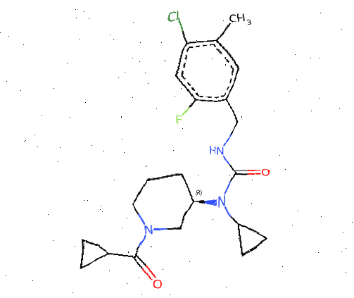 Cc1cc(CNC(=O)N(C2CC2)[C@@H]2CCCN(C(=O)C3CC3)C2)c(F)cc1Cl